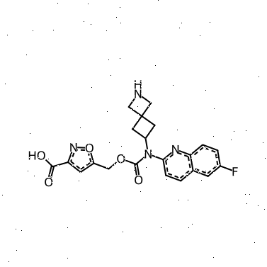 O=C(O)c1cc(COC(=O)N(c2ccc3cc(F)ccc3n2)C2CC3(CNC3)C2)on1